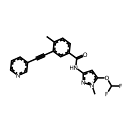 Cc1ccc(C(=O)Nc2cc(OC(F)F)n(C)n2)cc1C#Cc1cccnc1